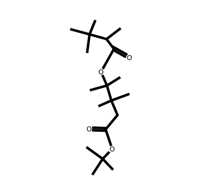 CC(C(=O)OC(C)(C)C(C)(C)CC(=O)OC(C)(C)C)C(C)(C)C